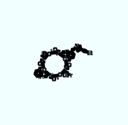 CCC#Cc1cnn(Cc2ccc(C[C@H]3OC(=O)[C@H](CC(C)C)N(C)C(=O)[C@@H](C)OC(=O)[C@H](CC(C)C)N(C)C(=O)[C@@H](Cc4ccccc4)OC(=O)[C@H](CC(C)C)N(C)C(=O)[C@@H](C)OC(=O)[C@H](CC(C)C)N(C)C3=O)cc2)c1